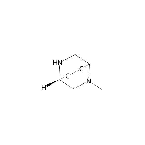 CN1C[C@H]2CCC1CN2